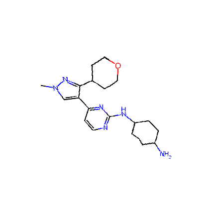 Cn1cc(-c2ccnc(NC3CCC(N)CC3)n2)c(C2CCOCC2)n1